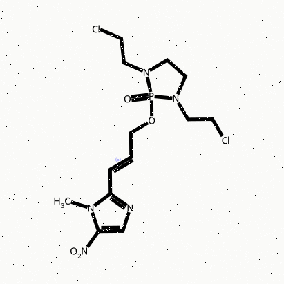 Cn1c([N+](=O)[O-])cnc1/C=C/COP1(=O)N(CCCl)CCN1CCCl